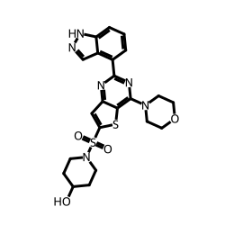 O=S(=O)(c1cc2nc(-c3cccc4[nH]ncc34)nc(N3CCOCC3)c2s1)N1CCC(O)CC1